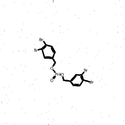 O=[PH](OCc1ccc(Br)c(Br)c1)OCc1ccc(Br)c(Br)c1